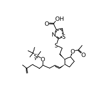 C=C(C)CCC(C/C=C/[C@@H]1CC[C@H](OC(C)=O)[C@@H]1CCSc1nc(C(=O)O)cs1)O[Si](C)(C)C(C)(C)C